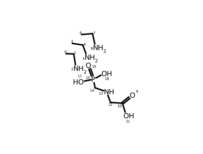 CCN.CCN.CCN.O=C(O)CNCP(=O)(O)O